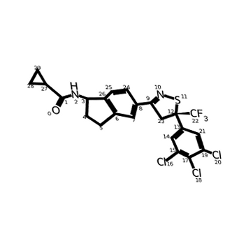 O=C(NC1CCc2cc(C3=NS[C@@](c4cc(Cl)c(Cl)c(Cl)c4)(C(F)(F)F)C3)ccc21)C1CC1